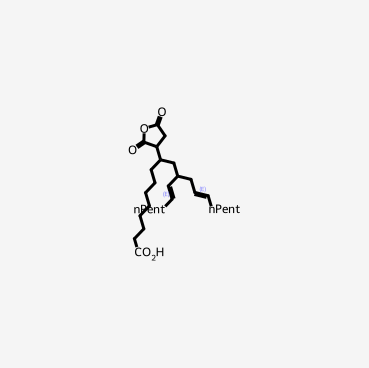 CCCCC/C=C/CC(/C=C/CCCCC)CC(CCCCCCCC(=O)O)C1CC(=O)OC1=O